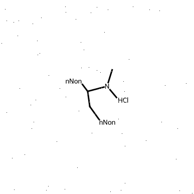 CCCCCCCCCCC(CCCCCCCCC)N(C)C.Cl